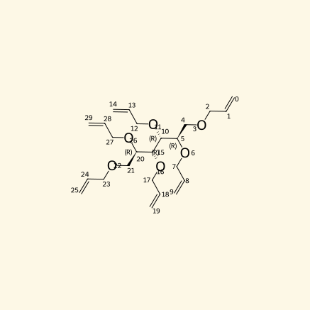 C=CCOC[C@@H](OCC=C)[C@@H](OCC=C)[C@H](OCC=C)[C@@H](COCC=C)OCC=C